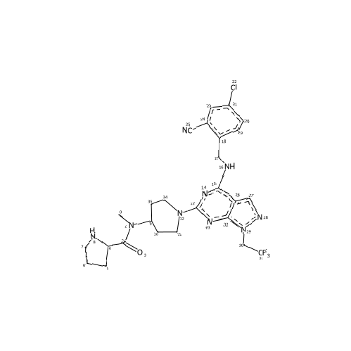 CN(C(=O)C1CCCN1)C1CCN(c2nc(NCc3ccc(Cl)cc3C#N)c3cnn(CC(F)(F)F)c3n2)CC1